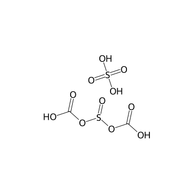 O=C(O)OS(=O)OC(=O)O.O=S(=O)(O)O